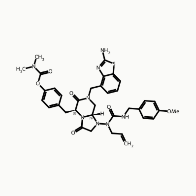 C=CCN(C(=O)NCc1ccc(OC)cc1)N1CC(=O)N2[C@@H](Cc3ccc(OC(=O)N(C)C)cc3)C(=O)N(Cc3cccc4sc(N)nc34)C[C@@H]21